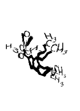 CCCCC1(CCCC)c2cc(C(=O)C(C)(C)N3CCOCC3)ccc2-c2ccc(N(C)C)cc21